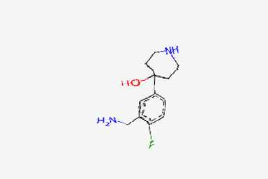 NCc1cc(C2(O)CCNCC2)ccc1F